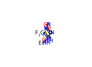 CCNC(=O)Nc1cc(-c2nc(C(F)(F)F)cs2)c(-c2cncc(-c3nnc(C(=O)N(C)C)o3)c2)cn1